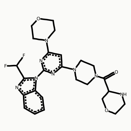 O=C(C1COCCN1)N1CCN(c2cc(N3CCOCC3)nc(-n3c(C(F)F)nc4ccccc43)n2)CC1